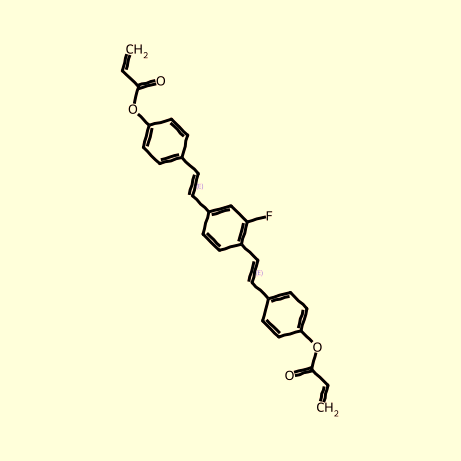 C=CC(=O)Oc1ccc(/C=C/c2ccc(/C=C/c3ccc(OC(=O)C=C)cc3)c(F)c2)cc1